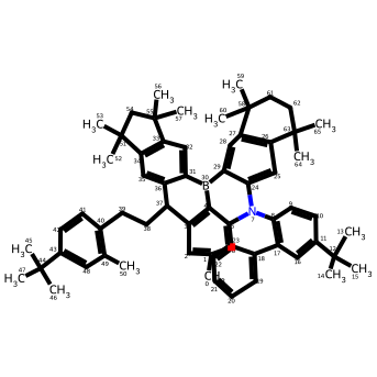 Cc1cc2c3c(c1)N(c1ccc(C(C)(C)C)cc1-c1ccccc1)c1cc4c(cc1B3c1cc3c(cc1C2CCc1ccc(C(C)(C)C)cc1C)C(C)(C)CC3(C)C)C(C)(C)CCC4(C)C